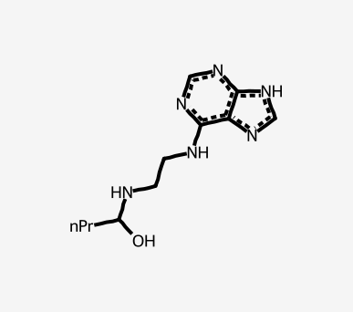 CCCC(O)NCCNc1ncnc2[nH]cnc12